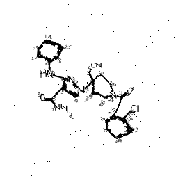 N#CCC1(n2cc(C(N)=O)c(Nc3ccccc3)n2)CCN(C(=O)c2ccccc2Cl)CC1